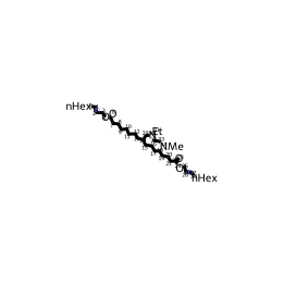 CCCCCC/C=C/COC(=O)CCCCCCCC(CCCCCCCC(=O)OC/C=C/CCCCCC)CN(CC)CCNC